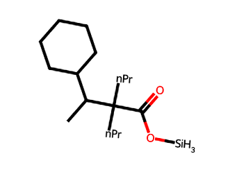 CCCC(CCC)(C(=O)O[SiH3])C(C)C1CCCCC1